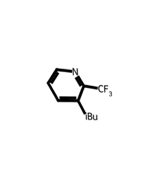 CCC(C)c1cccnc1C(F)(F)F